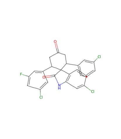 O=C1CC(c2cccc(Cl)c2)C2(C(=O)Nc3cc(Cl)ccc32)C(c2cc(F)cc(Cl)c2)C1